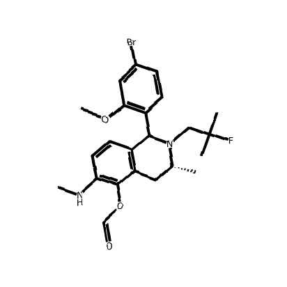 CNc1ccc2c(c1OC=O)C[C@@H](C)N(CC(C)(C)F)C2c1ccc(Br)cc1OC